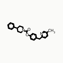 Cc1ccc(Cc2ccc(OC(=O)N3CCC(c4ccccc4)CC3)cc2)nc1